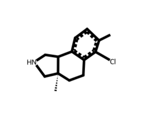 Cc1ccc2c(c1Cl)CC[C@@]1(C)CNCC21